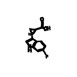 O=C(O)C1C[C@H]1c1c[nH]c2cc(F)ccc12